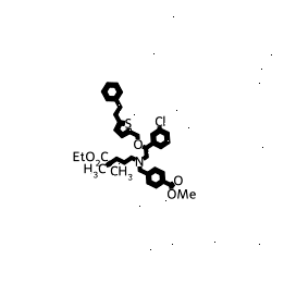 CCOC(=O)C(C)(C)CCCN(Cc1ccc(C(=O)OC)cc1)CC(OCc1ccc(CCc2ccccc2)s1)c1cccc(Cl)c1